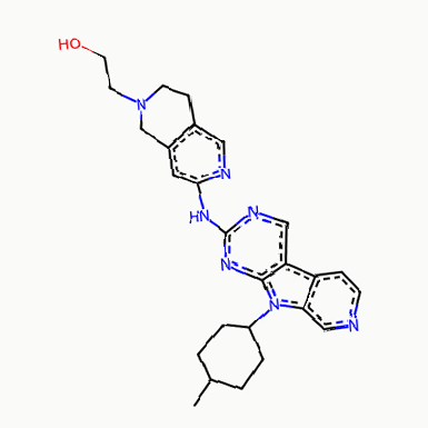 CC1CCC(n2c3cnccc3c3cnc(Nc4cc5c(cn4)CCN(CCO)C5)nc32)CC1